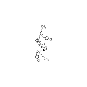 CCCCCC(CCn1ccnc1OC(=O)C(=O)Oc1nccn1CCC(CCCCC)OCc1ccc(Cl)cc1)OCc1ccc(Cl)cc1